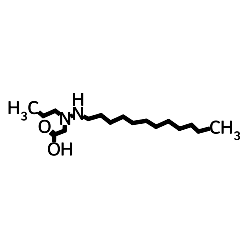 CCCCCCCCCCCCNN(CCC)CC(=O)O